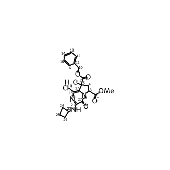 COC(=O)C1CC(C)(C(=O)OCc2ccccc2)c2c(Cl)nc(NC3CCC3)c(=O)n21